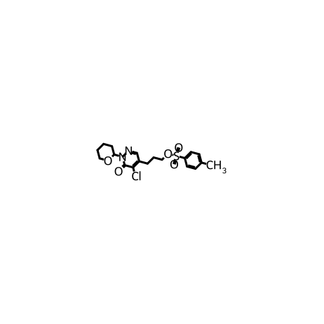 Cc1ccc(S(=O)(=O)OCCCc2cnn(C3CCCCO3)c(=O)c2Cl)cc1